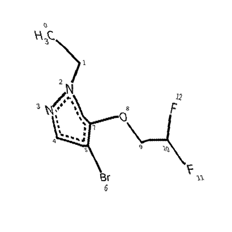 CCn1ncc(Br)c1OCC(F)F